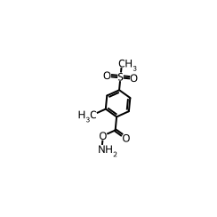 Cc1cc(S(C)(=O)=O)ccc1C(=O)ON